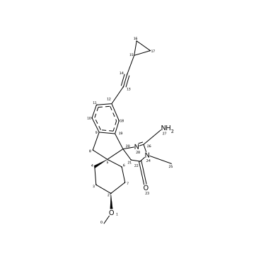 CO[C@H]1CC[C@@]2(CC1)Cc1ccc(C#CC3CC3)cc1C21CC(=O)N(C)C(N)=N1